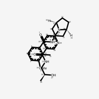 COc1cccc(C(=O)N[C@H]2C[C@H]3CC[C@@H](C2)N3c2ccc(C(=O)NC[C@H](C)O)cn2)c1C